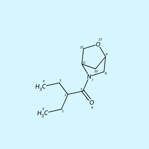 CCC(CC)C(=O)N1CC2CC1CO2